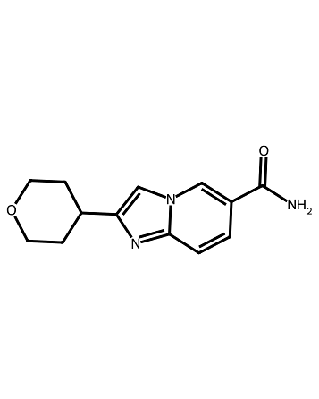 NC(=O)c1ccc2nc(C3CCOCC3)cn2c1